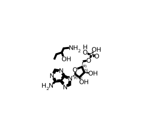 CCC(O)CN.Nc1ncnc2c1ncn2[C@@H]1O[C@H](COP(=O)(O)O)[C@@H](O)[C@H]1O